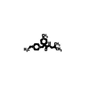 CCN1CCN(CC2(C(=O)NCC(C)C)CCN(C)CC2)CC1